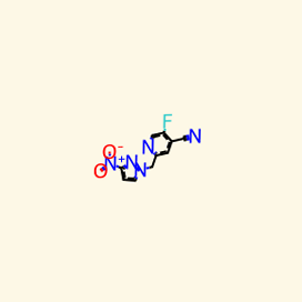 N#Cc1cc(Cn2ccc([N+](=O)[O-])n2)ncc1F